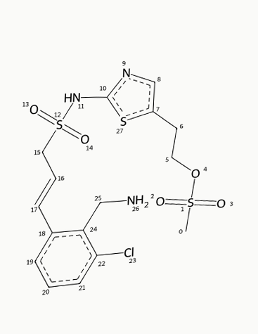 CS(=O)(=O)OCCc1cnc(NS(=O)(=O)CC=Cc2cccc(Cl)c2CN)s1